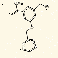 C=C(OC)c1cc(CC(C)C)cc(OCc2ccccc2)c1